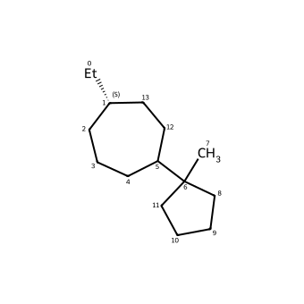 CC[C@H]1CCCC(C2(C)CCCC2)CC1